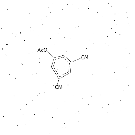 [CH2]C(=O)Oc1cc(C#N)cc(C#N)c1